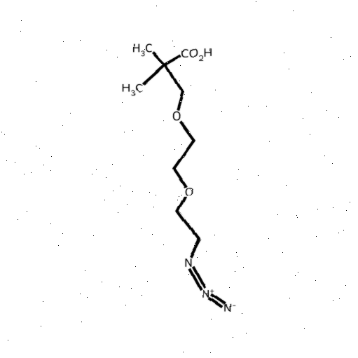 CC(C)(COCCOCCN=[N+]=[N-])C(=O)O